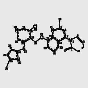 C=C(C)N(/C=C\C)c1cc(C)nc2c(OCc3c(Cl)cncc3Sc3nc(C)cs3)cccc12